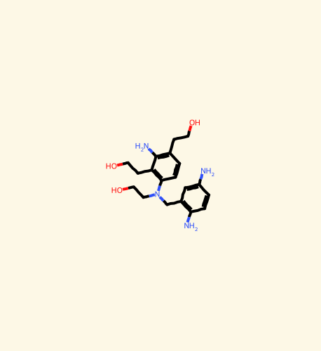 Nc1ccc(N)c(CN(CCO)c2ccc(CCO)c(N)c2CCO)c1